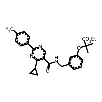 CCOC(=O)C(C)(C)Oc1cccc(CNC(=O)c2cnc(-c3ccc(C(F)(F)F)cc3)nc2C2CC2)c1